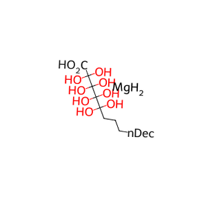 CCCCCCCCCCCCCC(O)(O)C(O)(O)C(O)(O)C(O)(O)C(=O)O.[MgH2]